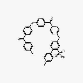 Cc1ccc(C(=O)c2ccc(Oc3ccc(C(=O)c4ccc(Cc5ccc(-c6ccc(C)cc6)c(S(=O)(=O)O)c5)cc4)cc3)cc2)cc1